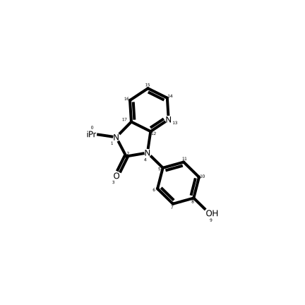 CC(C)n1c(=O)n(-c2ccc(O)cc2)c2ncccc21